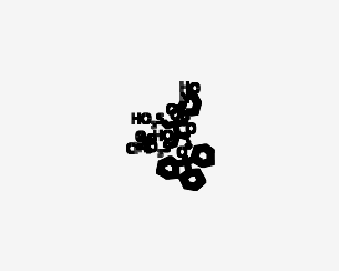 CS(=O)(=O)Cl.O=c1ccn([C@@H]2O[C@H](COC(c3ccccc3)(c3ccccc3)c3ccccc3)[C@](O)(CS(=O)(=O)O)[C@]2(O)CS(=O)(=O)O)c(=O)[nH]1